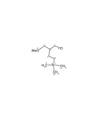 COCC(CCl)CC[Si](C)(C)C